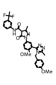 COc1ccc(Cn2c(C)nnc2-c2cc(N3N=C(C)C(C(=O)Nc4cccc(C(C)(F)F)c4)C3=O)ccc2OC)cc1